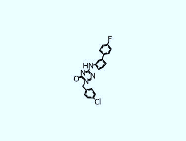 O=c1nc(Nc2cccc(-c3ccc(F)cc3)c2)ncn1Cc1ccc(Cl)cc1